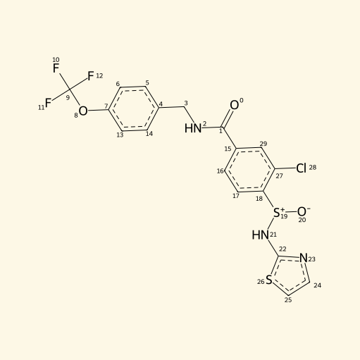 O=C(NCc1ccc(OC(F)(F)F)cc1)c1ccc([S+]([O-])Nc2nccs2)c(Cl)c1